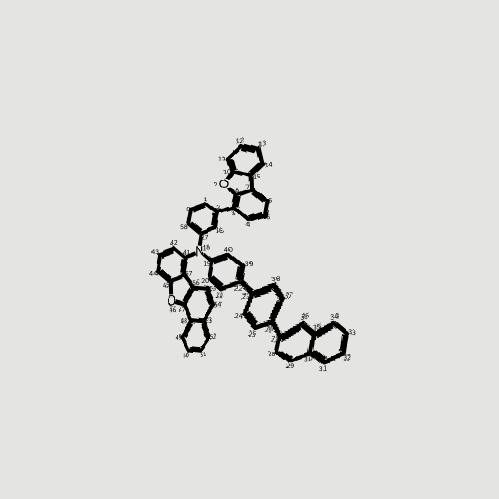 c1cc(-c2cccc3c2oc2ccccc23)cc(N(c2ccc(-c3ccc(-c4ccc5ccccc5c4)cc3)cc2)c2cccc3oc4c5ccccc5ccc4c23)c1